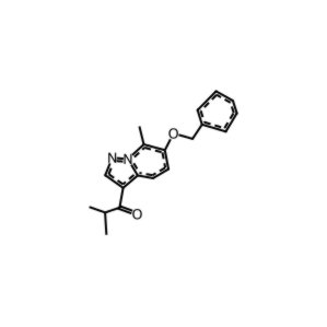 Cc1c(OCc2ccccc2)ccc2c(C(=O)C(C)C)cnn12